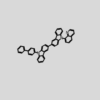 c1ccc(-c2ccc(-n3c4ccccc4c4cc(-c5ccc6c(c5)c5ccccc5n6-c5cccc6cccnc56)ccc43)cc2)cc1